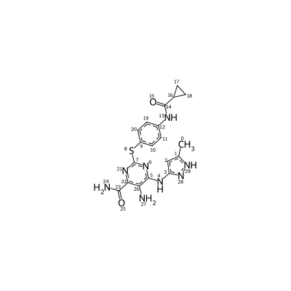 Cc1cc(Nc2nc(Sc3ccc(NC(=O)C4CC4)cc3)nc(C(N)=O)c2N)n[nH]1